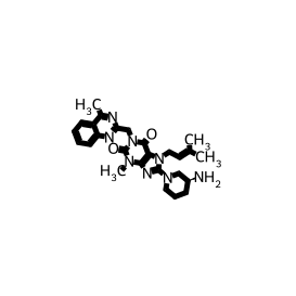 CC(C)=CCn1c(N2CCC[C@@H](N)C2)nc2c1c(=O)n(Cc1nc(C)c3ccccc3n1)c(=O)n2C